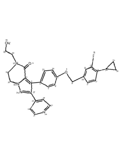 O=C1c2c(-c3ccc(OCc4ccc(C5CC5)c(F)c4)cc3)c(-c3ccncc3)nn2CCN1CCO